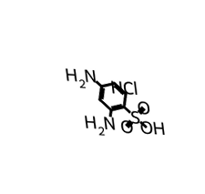 Cl.Nc1ccc(S(=O)(=O)O)c(N)c1